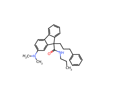 CCCNC(=O)C1(CCCc2ccccc2)c2ccccc2-c2ccc(N(C)C)cc21